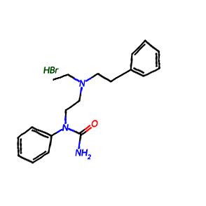 Br.CCN(CCc1ccccc1)CCN(C(N)=O)c1ccccc1